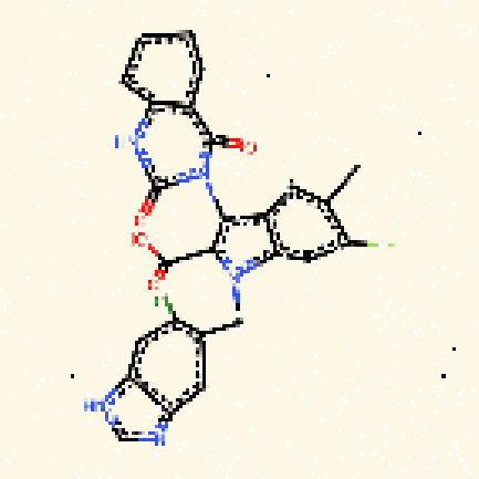 Cc1cc2c(-n3c(=O)[nH]c4ccccc4c3=O)c(C(=O)O)n(Cc3cc4nc[nH]c4cc3Cl)c2cc1F